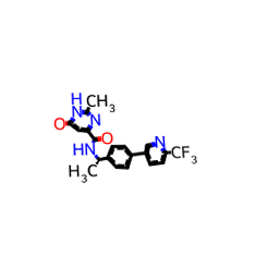 Cc1nc(C(=O)N[C@H](C)c2ccc(-c3ccc(C(F)(F)F)nc3)cc2)cc(=O)[nH]1